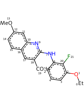 CCOc1cccc(Nc2nc3cc(OC)ccc3cc2C(=O)O)c1F